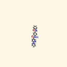 O=C(Nc1ccc(-c2nc3ccccc3o2)cc1)c1ccc(N2CCCCC2)nc1